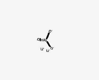 O=[AsH]([O-])[O-].[Li+].[Li+]